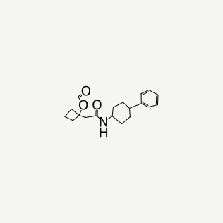 O=COC1(CC(=O)NC2CCC(c3ccccc3)CC2)CCC1